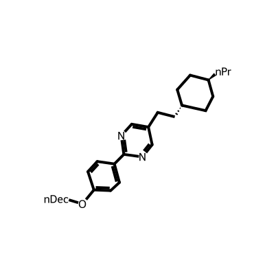 CCCCCCCCCCOc1ccc(-c2ncc(CC[C@H]3CC[C@H](CCC)CC3)cn2)cc1